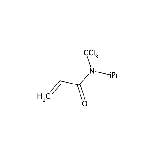 C=CC(=O)N(C(C)C)C(Cl)(Cl)Cl